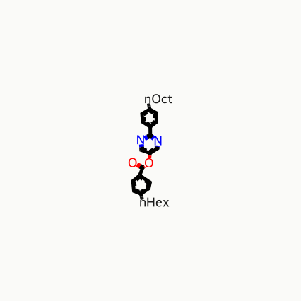 CCCCCCCCc1ccc(-c2ncc(OC(=O)c3ccc(CCCCCC)cc3)cn2)cc1